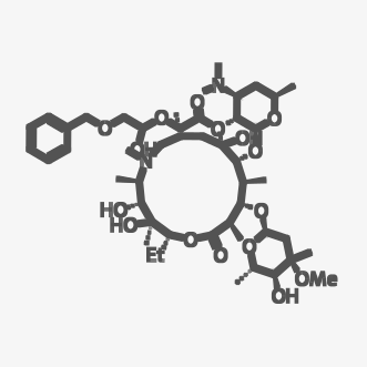 CC[C@H]1OC(=O)[C@H](C)[C@@H](O[C@H]2C[C@@](C)(OC)[C@@H](O)[C@H](C)O2)[C@H](C)[C@@H](O[C@@H]2O[C@H](C)C[C@H](N(C)C)[C@H]2OC(=O)COC(O)COCc2ccccc2)[C@](C)(O)C[C@@H](C)CN(C)[C@H](C)[C@@H](O)[C@]1(C)O